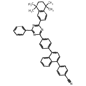 CC1(C)CCC(C)(C)c2cc(-c3nc(-c4ccccc4)nc(-c4ccc(-c5ccc(-c6ccc(C#N)cc6)c6ccccc56)cc4)n3)ccc21